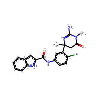 CN1C(=O)CC(C)(c2cc(NC(=O)c3cc4ccccc4[nH]3)ccc2F)N=C1N